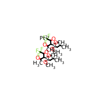 CCC[Si](OC)(OC)C(C(C)=O)C(=O)C(F)(F)F.CCC[Si](OC)(OC)C(C(C)=O)C(=O)C(F)(F)F.[Pt+2]